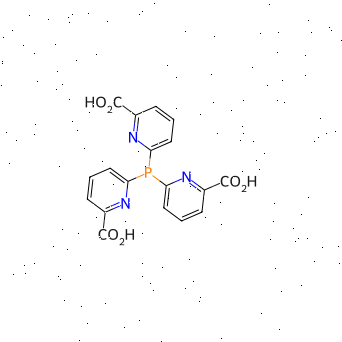 O=C(O)c1cccc(P(c2cccc(C(=O)O)n2)c2cccc(C(=O)O)n2)n1